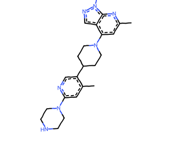 Cc1cc(N2CCC(c3cnc(N4CCNCC4)cc3C)CC2)c2cnn(C)c2n1